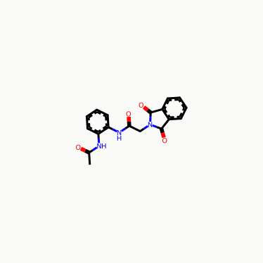 CC(=O)Nc1ccccc1NC(=O)CN1C(=O)c2ccccc2C1=O